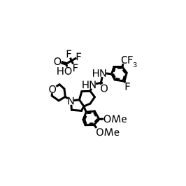 COc1ccc(C23CCC(NC(=O)Nc4cc(F)cc(C(F)(F)F)c4)CC2N(C2CCOCC2)CC3)cc1OC.O=C(O)C(F)(F)F